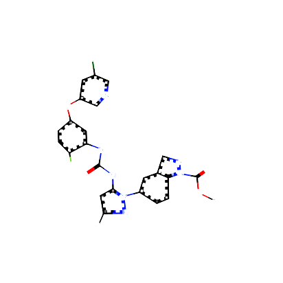 CC(C)(C)OC(=O)n1ncc2cc(-n3nc(C(C)(C)C)cc3NC(=O)Nc3cc(Oc4cncc(Cl)c4)ccc3F)ccc21